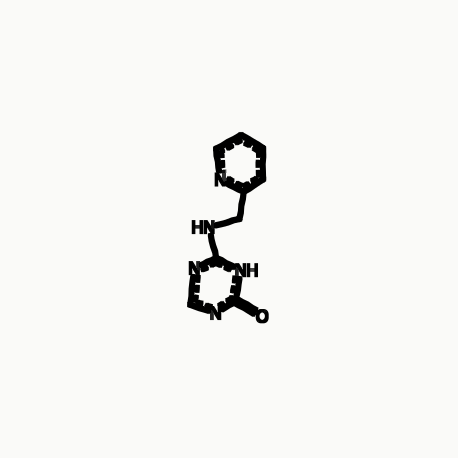 O=c1ncnc(NCc2ccccn2)[nH]1